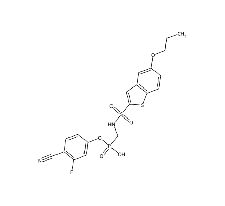 CCCOc1ccc2sc(S(=O)(=O)NCP(=O)(O)Oc3ccc(C#N)c(F)c3)cc2c1